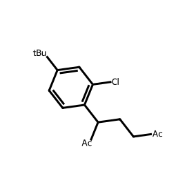 CC(=O)CCC(C(C)=O)c1ccc(C(C)(C)C)cc1Cl